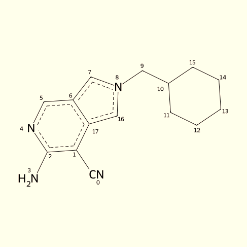 N#Cc1c(N)ncc2cn(CC3CCCCC3)cc12